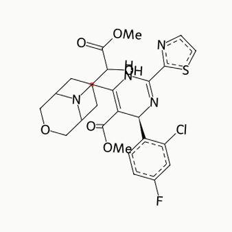 COC(=O)C1=C(CN2C3COCC2CC(C(O)C(=O)OC)C3)NC(c2nccs2)=N[C@H]1c1ccc(F)cc1Cl